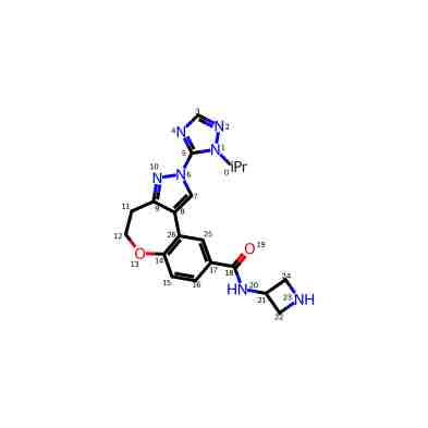 CC(C)n1ncnc1-n1cc2c(n1)CCOc1ccc(C(=O)NC3CNC3)cc1-2